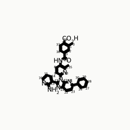 Cc1cc(C(=O)Nc2ccc(-n3c(-c4cccnc4N)nc4ccc(-c5ccccc5)nc43)nc2C)ccc1C(=O)O